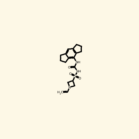 C=CN1CC(S(=O)(=O)NC(=O)Nc2c3c(cc4c2CCC4)CCC3)C1